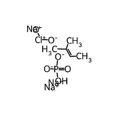 CC=C(C)C.O=P([O-])([O-])O.[Na+].[Na+].[Na+].[O-][Cl+][O-]